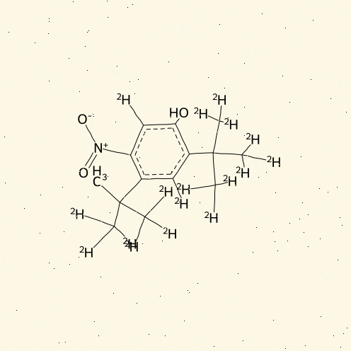 [2H]c1c(O)c(C(C([2H])([2H])[2H])(C([2H])([2H])[2H])C([2H])([2H])[2H])c([2H])c(C(C)(C([2H])([2H])[2H])C([2H])([2H])[2H])c1[N+](=O)[O-]